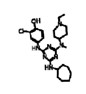 CCN1CCC(N(C)c2nc(Nc3ccc(O)c(Cl)c3)nc(NC3CCCCCC3)n2)CC1